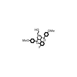 COc1ccc(C(=O)[C@H]2CN(CCO)C[C@H](C(=O)c3ccc(OC)cc3)C2c2cccc(F)c2C)cc1